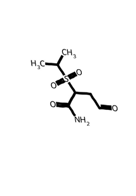 CC(C)S(=O)(=O)C(CC=O)C(N)=O